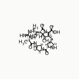 C[C@H](NC(=N)N)C(=O)N[C@H]1CCN(C(=O)[C@@H]2C[C@H](SC3=C(C(=O)O)N4C(=O)[C@H]([C@@H](C)O)[C@H]4[C@H]3C)CN2)C1